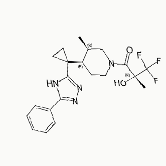 C[C@H]1CN(C(=O)[C@@](C)(O)C(F)(F)F)CC[C@H]1C1(c2nnc(-c3ccccc3)[nH]2)CC1